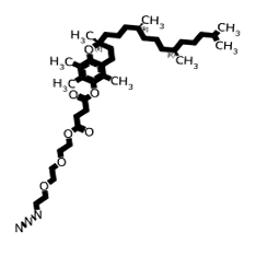 Cc1c(C)c2c(c(C)c1OC(=O)CCC(=O)OCCOCCOCCN=[N+]=[N-])CC[C@@](C)(CCC[C@H](C)CCC[C@H](C)CCCC(C)C)O2